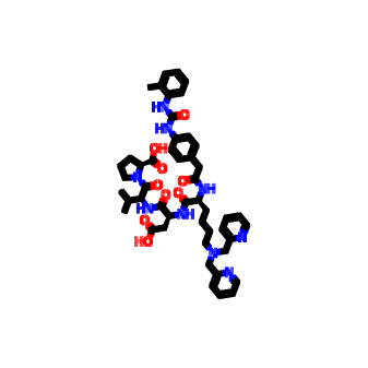 Cc1ccccc1NC(=O)Nc1ccc(CC(=O)N[C@@H](CCCCN(Cc2ccccn2)Cc2ccccn2)C(=O)N[C@@H](CC(=O)O)C(=O)N[C@H](C(=O)N2CCC[C@H]2C(=O)O)C(C)C)cc1